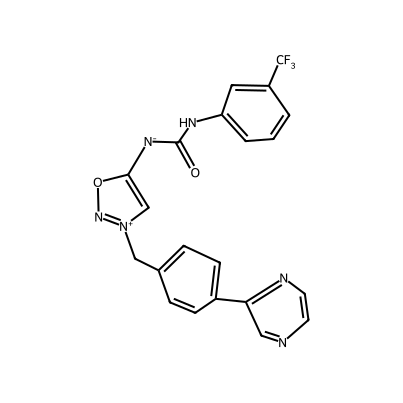 O=C([N-]c1c[n+](Cc2ccc(-c3cnccn3)cc2)no1)Nc1cccc(C(F)(F)F)c1